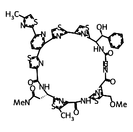 CNC(=O)C[C@@H]1NC(=O)c2csc(n2)-c2ccc(-c3nc(C)cs3)nc2-c2csc(n2)-c2csc(n2)C([C@@H](O)c2ccccc2)NC(=O)CNC(=O)c2nc(sc2COC)NC(=O)c2nc1sc2C